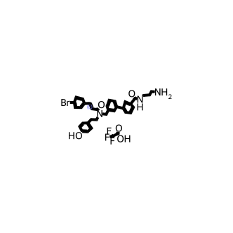 NCCCNC(=O)c1cccc(-c2cccc(CN(CCc3ccc(O)cc3)C(=O)/C=C/c3ccc(Br)cc3)c2)c1.O=C(O)C(F)(F)F